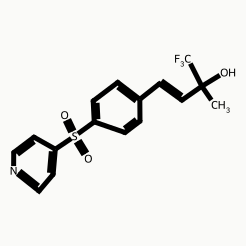 CC(O)(/C=C/c1ccc(S(=O)(=O)c2ccncc2)cc1)C(F)(F)F